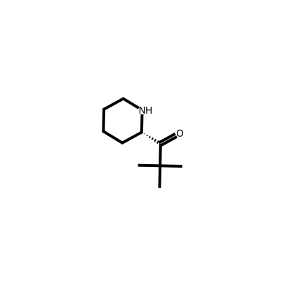 CC(C)(C)C(=O)[C@@H]1CCCCN1